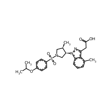 Cc1cccc2c1c(CC(=O)O)nn2[C@H]1CN(S(=O)(=O)c2ccc(OC(C)C)cc2)C[C@H]1C